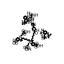 CCN(CC)CC.CNC(=O)c1nnc(Nc2cnn(C3CCN(C(=O)CCCCCC4(C)C(/C=C/C=C/C=C5/N(CCCS(=O)(=O)O)c6ccc(S(=O)(=O)[O-])cc6C5(C)C)=[N+](CCCS(=O)(=O)O)c5ccc(S(=O)(=O)O)cc54)CC3)c2)nc1Nc1cccc(-c2ncn(C)n2)c1OC.COc1c(N)cccc1-c1ncn(C)n1